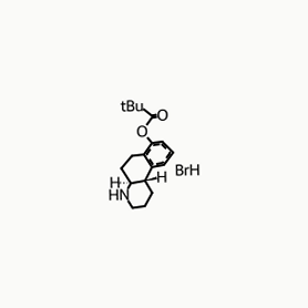 Br.CC(C)(C)C(=O)Oc1cccc2c1CC[C@@H]1NCCC[C@@H]21